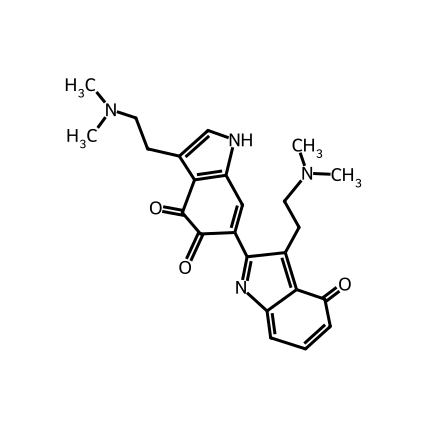 CN(C)CCC1=C2C(=O)C=CC=C2N=C1C1=Cc2[nH]cc(CCN(C)C)c2C(=O)C1=O